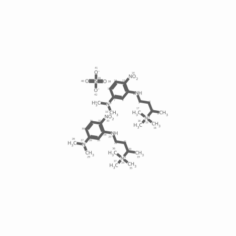 CC(CCNc1cc(N(C)C)ccc1[N+](=O)[O-])[N+](C)(C)C.CC(CCNc1cc(N(C)C)ccc1[N+](=O)[O-])[N+](C)(C)C.O=S(=O)([O-])[O-]